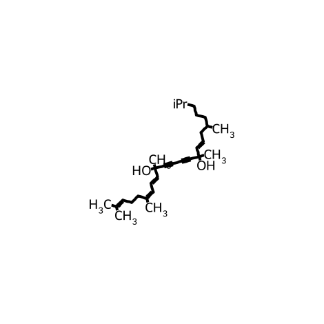 CC(C)=CCCC(C)=CC=CC(C)(O)C#CC#CC(C)(O)C=CCC(C)CCCC(C)C